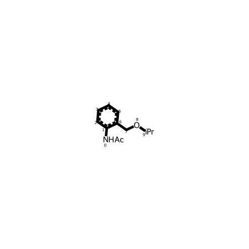 CC(=O)Nc1ccccc1COC(C)C